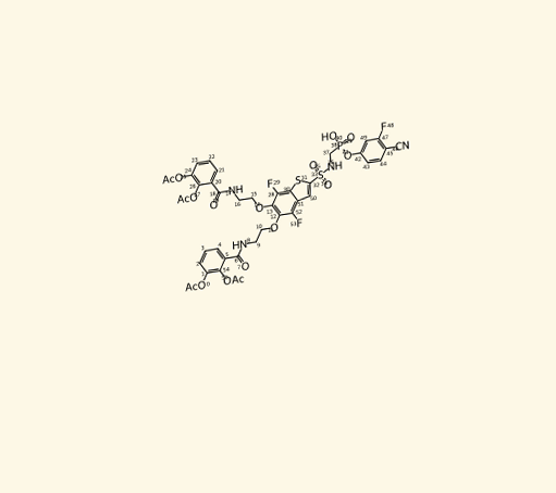 CC(=O)Oc1cccc(C(=O)NCCOc2c(OCCNC(=O)c3cccc(OC(C)=O)c3OC(C)=O)c(F)c3sc(S(=O)(=O)NCP(=O)(O)Oc4ccc(C#N)c(F)c4)cc3c2F)c1OC(C)=O